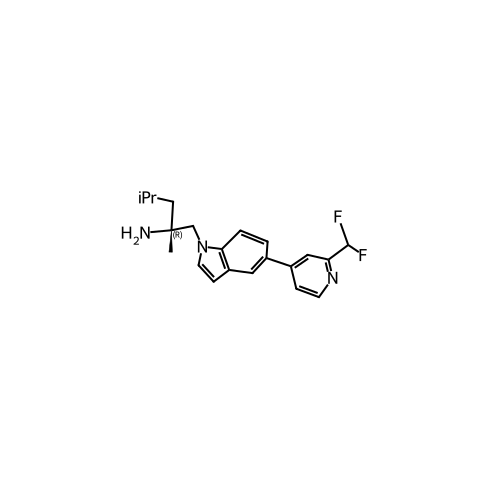 CC(C)C[C@@](C)(N)Cn1ccc2cc(-c3ccnc(C(F)F)c3)ccc21